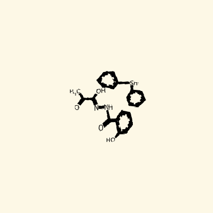 CC(=O)C(O)=NNC(=O)c1ccccc1O.c1cc[c]([Sn][c]2ccccc2)cc1